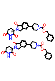 O=C1CC[C@H](N2Cc3cc(C4=CCN(C(=O)OCc5ccccc5)CC4)ccc3C2=O)C(=O)N1.O=C1CC[C@H](N2Cc3cc(C4=CCN(C(=O)OCc5ccccc5)CC4)ccc3C2=O)C(=O)N1